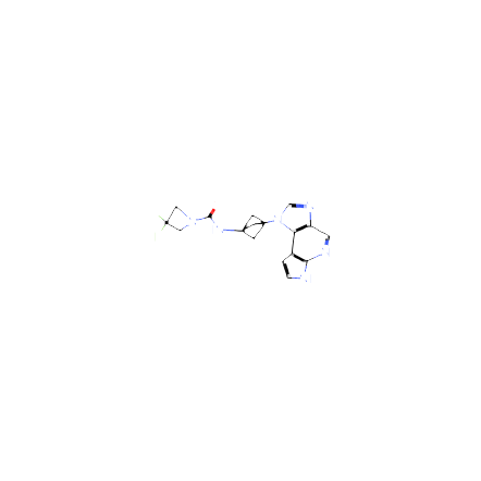 O=C(NC12CC(n3cnc4cnc5[nH]ccc5c43)(C1)C2)N1CC(F)(F)C1